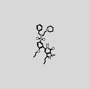 CCCOc1ccc(S(=O)(=O)N(CCN2CCCCC2)Cc2ccccc2)cc1-c1cc2c(CCC)nn(C)c2c(=O)[nH]1